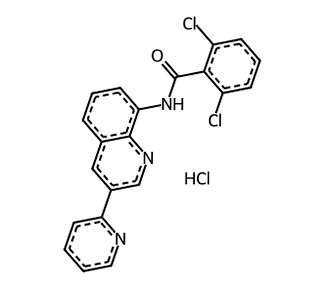 Cl.O=C(Nc1cccc2cc(-c3ccccn3)cnc12)c1c(Cl)cccc1Cl